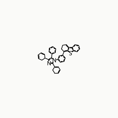 C1=CCCC(c2nc(C3C=CC=CC3)c(-c3ccccc3)n2-c2cccc(C3=c4sc5ccccc5c4=CCC3)c2)=C1